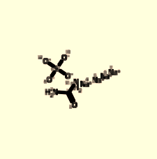 NC(N)=O.[Na+].[Na+].[Na+].[Na+].[O-][Si]([O-])([O-])[O-]